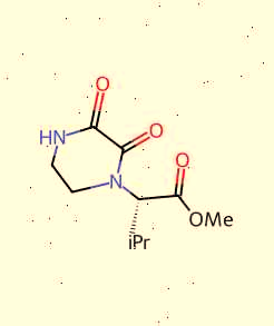 COC(=O)[C@H](C(C)C)N1CCNC(=O)C1=O